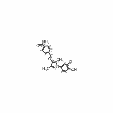 Cc1nn(-c2ccc(C#N)c(Cl)c2)c(C)c1OCc1ccc(C(N)=O)cc1